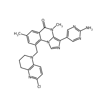 Cc1cc(CN2CCCc3nc(Cl)ccc32)c2c(c1)c(=O)n(C)c1c(-c3cnc(N)nc3)ncn21